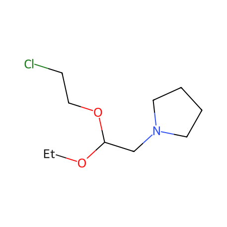 CCOC(CN1CCCC1)OCCCl